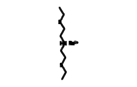 CCSCCNCCSCC.[Ru+2]